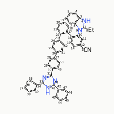 CCC1Nc2ccccc2N1c1cc(C#N)ccc1-c1ccccc1-c1ccc(-c2ccc(C3=NC(c4ccccc4)NC(c4ccccc4)=N3)cc2)cc1